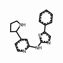 c1ccc(-c2cnc(Nc3cc(C4CCCN4)ccn3)s2)cc1